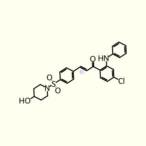 O=C(/C=C/c1ccc(S(=O)(=O)N2CCC(O)CC2)cc1)c1ccc(Cl)cc1Nc1ccccc1